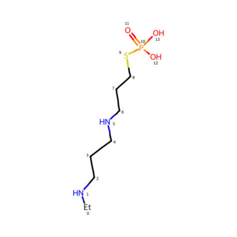 CCNCCCNCCCSP(=O)(O)O